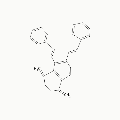 C=C1CCC(=C)c2c1ccc(C=Cc1ccccc1)c2C=Cc1ccccc1